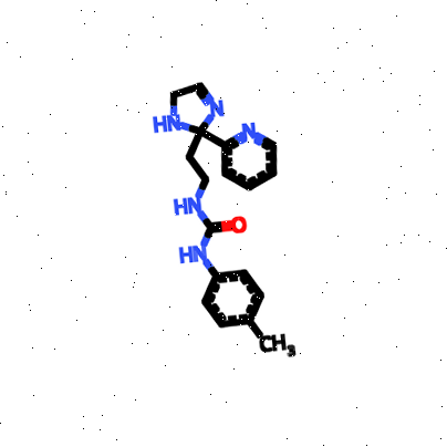 Cc1ccc(NC(=O)NCCC2(c3ccccn3)N=CCN2)cc1